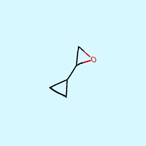 C1CC1C1CO1